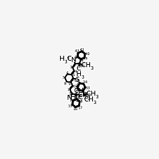 CN1/C(=C/C=C2\CCCC(/C=C/C3=Nc4ccccc4C3(C)C)=C2Sc2ccc(C(C)(C)C)cc2)C(C)(C)c2ccccc21